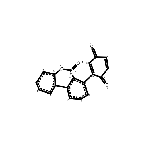 O=C1C=CC(=O)C(c2cccc3c2[PH](=O)Oc2ccccc2-3)=C1